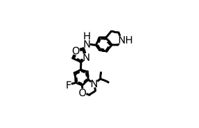 CC(C)N1CCOc2c(F)cc(-c3coc(Nc4ccc5c(c4)CCNC5)n3)cc21